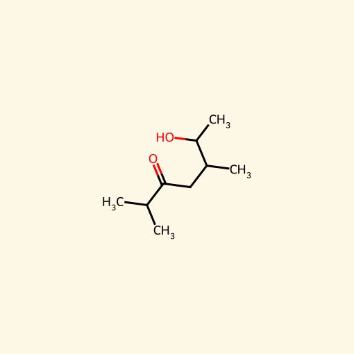 CC(C)C(=O)CC(C)C(C)O